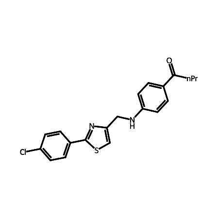 CCCC(=O)c1ccc(NCc2csc(-c3ccc(Cl)cc3)n2)cc1